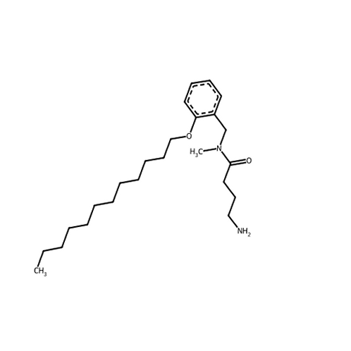 CCCCCCCCCCCCOc1ccccc1CN(C)C(=O)CCCN